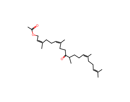 CC(=O)OCC=C(C)CCC=C(C)CCC(=O)C(C)CCC=C(C)CCC=C(C)C